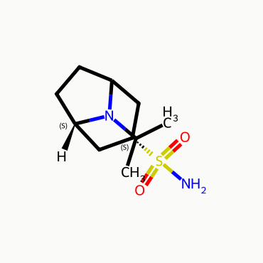 CC(C)N1C2CC[C@H]1C[C@@H](S(N)(=O)=O)C2